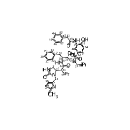 Cc1nc(CN2C(=O)NCC2[C@@H](C(=O)N[C@@H](Cc2ccccc2)[C@H](O)CN(CC(C)C)S(=O)(=O)c2ccc(O)c(NC(=O)Cc3ccccc3)c2)C(C)C)cs1